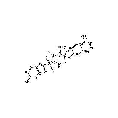 Nc1ncnc2cc(CC3(CC(=O)O)CNC(S(=O)(=O)c4cc5ccc(Cl)cc5s4)C(=O)N3)ccc12